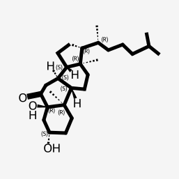 CC(C)CCC[C@@H](C)[C@H]1CC[C@H]2[C@@H]3CC(=O)[C@@]4(O)C[C@@H](O)CC[C@]4(C)[C@H]3CC[C@]12C